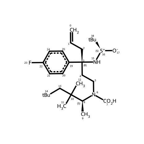 C=CC[C@](CCN(C(=O)O)[C@@H](C)C(C)(C)CC(C)(C)C)(N[S@+]([O-])C(C)(C)C)c1ccc(F)cc1